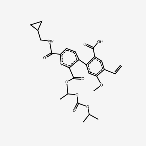 C=Cc1cc(C(=O)O)c(-c2ccc(C(=O)NCC3CC3)nc2C(=O)OC(C)OC(=O)OC(C)C)cc1OC